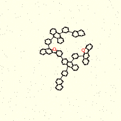 c1cc(-c2ccc3ccccc3c2)cc(-c2c3ccccc3c(-c3cccc(-c4c5ccccc5cc5c4oc4ccc(-c6ccc7c(-c8ccc(-c9ccc%10ccccc%10c9)cc8)c8ccccc8c(-c8cccc(-c9c%10ccccc%10cc%10c9oc9ccccc9%10)c8)c7c6)cc45)c3)c3ccccc23)c1